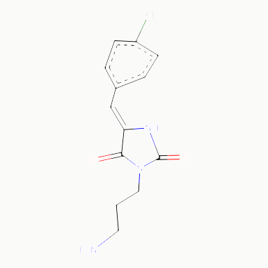 NCCCN1C(=O)N/C(=C\c2ccc(Cl)cc2)C1=O